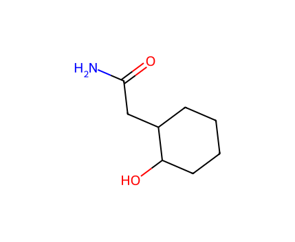 NC(=O)CC1CCCCC1O